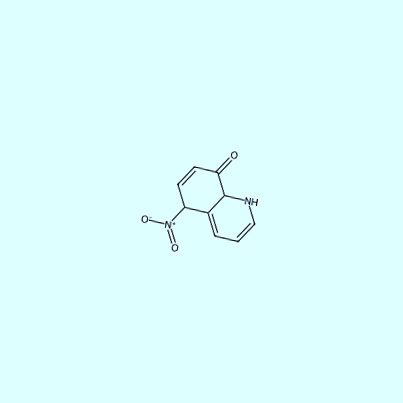 O=C1C=CC([N+](=O)[O-])C2=CC=CNC12